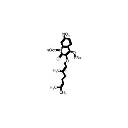 CCCCCCCCn1c(=O)c(OC/C=C(\C)CCC=C(C)C)c(OCCCC)c2ccc([N+](=O)[O-])cc21